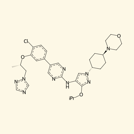 CC(C)Oc1nn([C@H]2CC[C@H](N3CCOCC3)CC2)cc1Nc1ncc(-c2ccc(Cl)c(O[C@@H](C)Cn3cncn3)c2)cn1